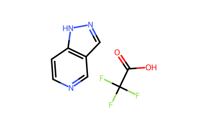 O=C(O)C(F)(F)F.c1cc2[nH]ncc2cn1